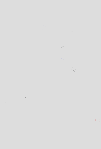 NC1CCCC(N2CC(CCC3CCCCC3)C3CC(CCC(=O)O)CC=C32)C1